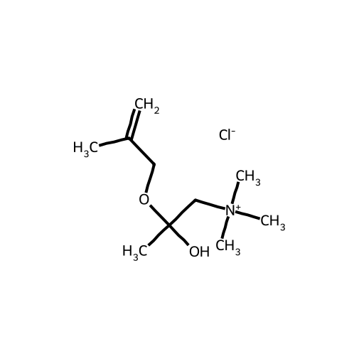 C=C(C)COC(C)(O)C[N+](C)(C)C.[Cl-]